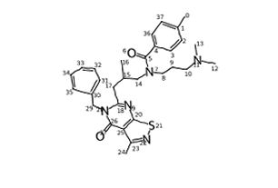 Cc1ccc(C(=O)N(CCCN(C)C)CC(C)Cc2nc3snc(C)c3c(=O)n2Cc2ccccc2)cc1